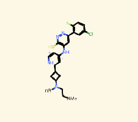 CCCN(CCNC)C1CC(C/C=C(\C=C/N)Nc2cc(-c3cc(Cl)ccc3F)nnc2S)C1